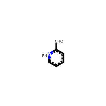 O=Cc1ccccn1.[Pd]